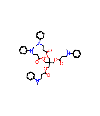 CN(CCC(=O)OCC(COC(=O)CCN(C)c1ccccc1)(COC(=O)CCN(C)c1ccccc1)COC(=O)CCN(C)c1ccccc1)c1ccccc1